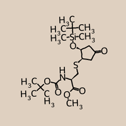 COC(=O)[C@H](CS[C@@H]1CC(=O)C[C@@H]1O[Si](C)(C)C(C)(C)C)NC(=O)OC(C)(C)C